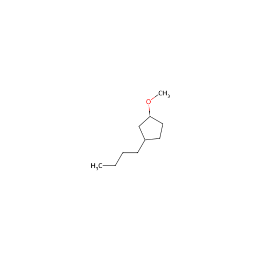 CCCCC1CCC(OC)C1